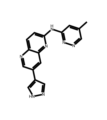 Cc1cnnc(Nc2ccc3ncc(-c4cn[nH]c4)cc3n2)c1